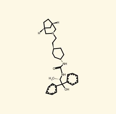 C[C@H](NC(=O)N[C@H]1CC[C@H](CCN2C[C@@H]3CC[C@@H](C3)C2)CC1)C(O)(c1ccccc1)c1ccccc1